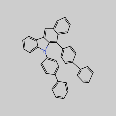 c1ccc(-c2ccc(-c3c4ccccc4cc4c5ccccc5n(-c5ccc(-c6ccccc6)cc5)c34)cc2)cc1